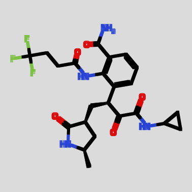 C[C@@H]1C[C@H](C[C@H](C(=O)C(=O)NC2CC2)c2cccc(C(N)=O)c2NC(=O)CCC(F)(F)F)C(=O)N1